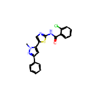 Cn1nc(-c2ccccc2)cc1-c1cnc(NC(=O)c2ccccc2Cl)s1